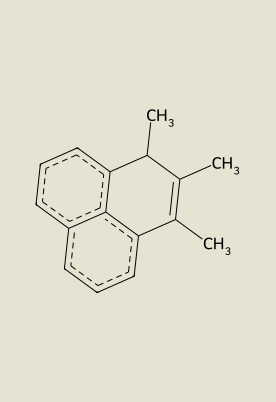 CC1=C(C)C(C)c2cccc3cccc1c23